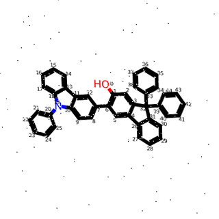 Oc1cc2c(cc1-c1ccc3c(c1)c1ccccc1n3-c1ccccc1)-c1ccccc1C2(c1ccccc1)c1ccccc1